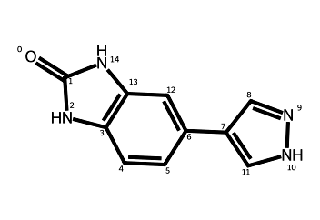 O=c1[nH]c2ccc(-c3cn[nH]c3)cc2[nH]1